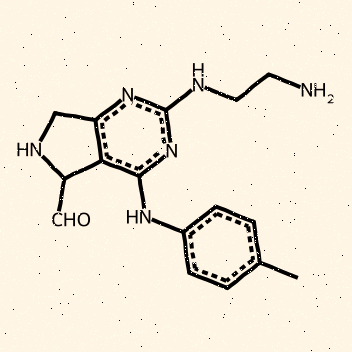 Cc1ccc(Nc2nc(NCCN)nc3c2C(C=O)NC3)cc1